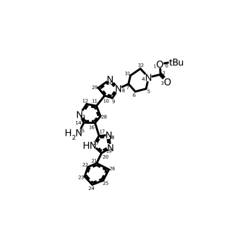 CC(C)(C)OC(=O)N1CCC(n2cc(-c3cnc(N)c(-c4nnc(-c5ccccc5)[nH]4)c3)cn2)CC1